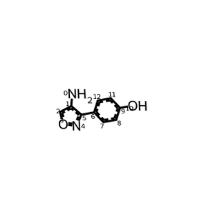 Nc1conc1-c1ccc(O)cc1